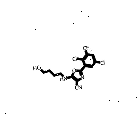 N#Cc1nc(-c2cc(Cl)cc(C(F)(F)F)c2Cl)oc1NCCCCO